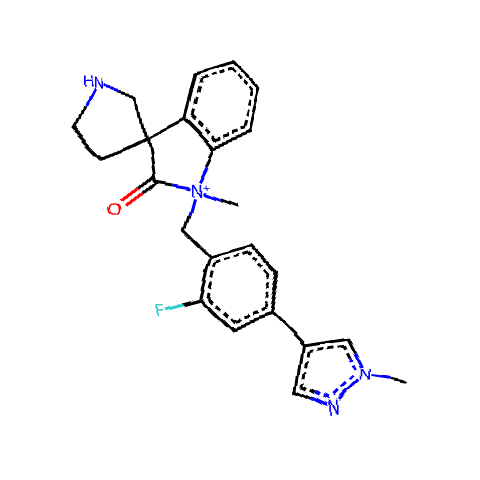 Cn1cc(-c2ccc(C[N+]3(C)C(=O)C4(CCNC4)c4ccccc43)c(F)c2)cn1